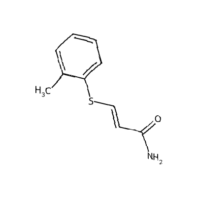 Cc1ccccc1SC=CC(N)=O